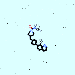 Cc1c(-c2ccc(CC3CCN(C(=O)N(C)C)CC3)cc2)ccc2cccnc12